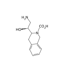 NC[C@H](O)C1Cc2ccccc2CN1C(=O)O